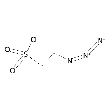 [N-]=[N+]=NCCS(=O)(=O)Cl